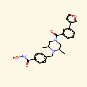 CC1CN(C(=O)c2cccc(-c3ccoc3)c2)CC(C)N1Cc1ccc(C(=O)NO)cc1